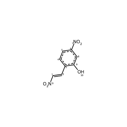 O=[N+]([O-])C=Cc1ccc([N+](=O)[O-])cc1O